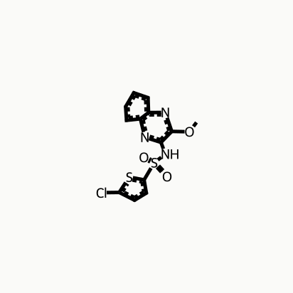 COc1nc2ccccc2nc1NS(=O)(=O)c1ccc(Cl)s1